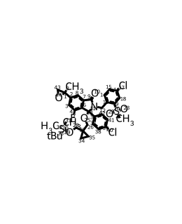 CC1(c2cc(F)c3c(c2)C(=O)N(Cc2ccc(Cl)cc2S(C)(=O)=O)C3(OCC2(CO[Si](C)(C)C(C)(C)C)CC2)c2ccc(Cl)cc2)CO1